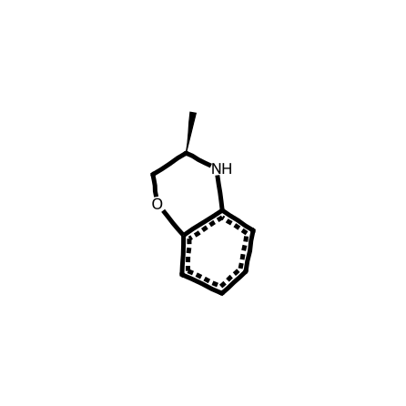 C[C@@H]1COc2ccccc2N1